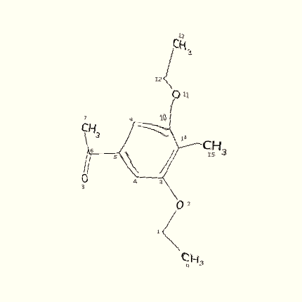 CCOc1cc(C(C)=O)cc(OCC)c1C